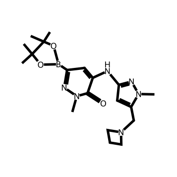 Cn1nc(Nc2cc(B3OC(C)(C)C(C)(C)O3)nn(C)c2=O)cc1CN1CCC1